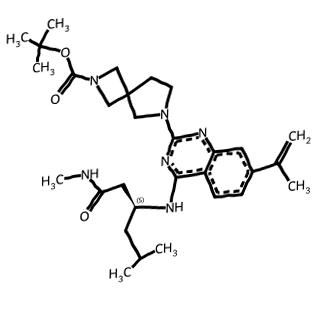 C=C(C)c1ccc2c(N[C@H](CC(=O)NC)CC(C)C)nc(N3CCC4(CN(C(=O)OC(C)(C)C)C4)C3)nc2c1